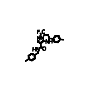 Cc1ccc(CNC(=O)c2cnn3c2NC(c2ccc(C)cc2)CC3C(F)(F)F)cc1